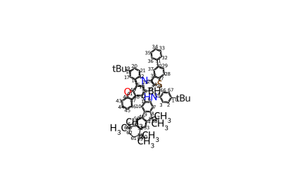 CC(C)(C)c1ccc(Nc2cc3c(cc2-c2c4c5c(c6cc(C(C)(C)C)ccc6n5-c5c(sc6ccc(-c7ccccc7)cc56)B4)c4oc5ccccc5c24)-c2cc4c(cc2C3(C)C)C(C)(C)CCC4(C)C)cc1